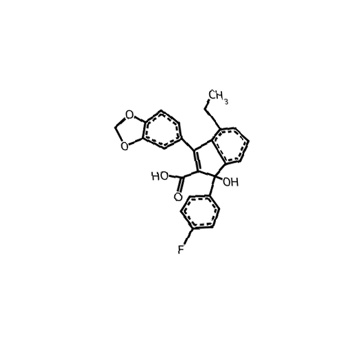 CCc1cccc2c1C(c1ccc3c(c1)OCO3)=C(C(=O)O)C2(O)c1ccc(F)cc1